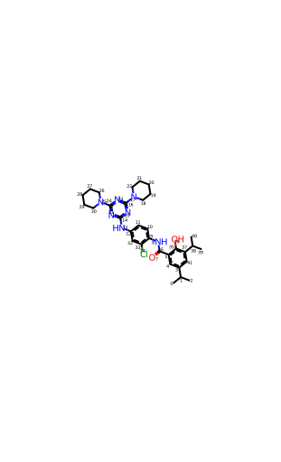 CC(C)c1cc(C(=O)Nc2ccc(Nc3nc(N4CCCCC4)nc(N4CCCCC4)n3)cc2Cl)c(O)c(C(C)C)c1